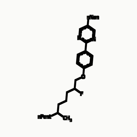 CCCCCCCCCc1cnc(-c2ccc(OCC(F)CCCC(C)CCCCC)cc2)nc1